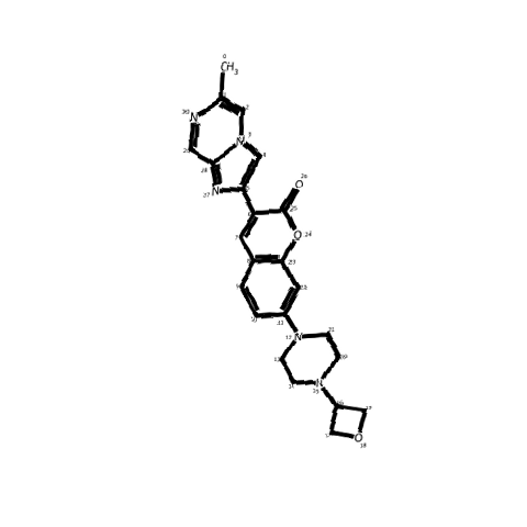 Cc1cn2cc(-c3cc4ccc(N5CCN(C6COC6)CC5)cc4oc3=O)nc2cn1